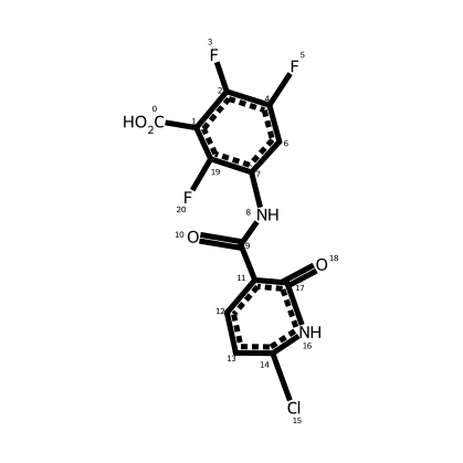 O=C(O)c1c(F)c(F)cc(NC(=O)c2ccc(Cl)[nH]c2=O)c1F